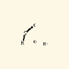 [K].[K].[K][S][K]